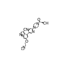 C#CC(=O)N1CCN(c2ccc(-c3cc(OCCN4CCC4)cn4ncc(C#N)c34)cn2)CC1